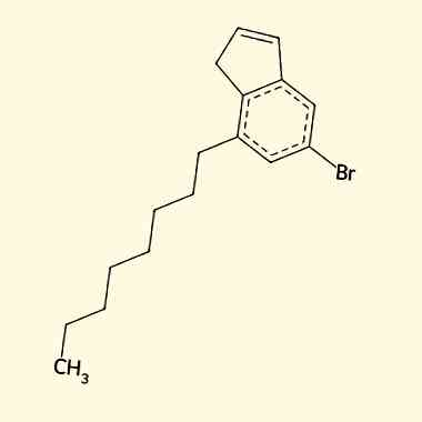 CCCCCCCCc1cc(Br)cc2c1CC=C2